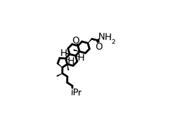 CC(C)CCC[C@@H](C)[C@H]1CC[C@H]2[C@@H]3CC4OC45C[C@@H](CC(N)=O)CC[C@]5(C)[C@H]3CC[C@]12C